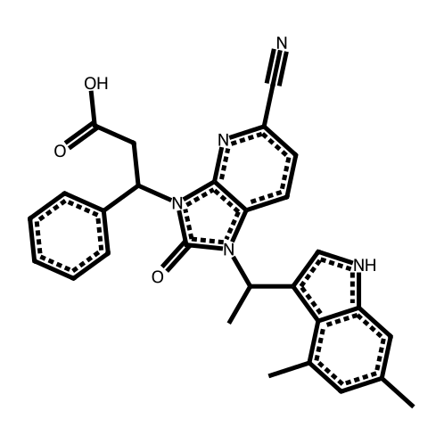 Cc1cc(C)c2c(C(C)n3c(=O)n(C(CC(=O)O)c4ccccc4)c4nc(C#N)ccc43)c[nH]c2c1